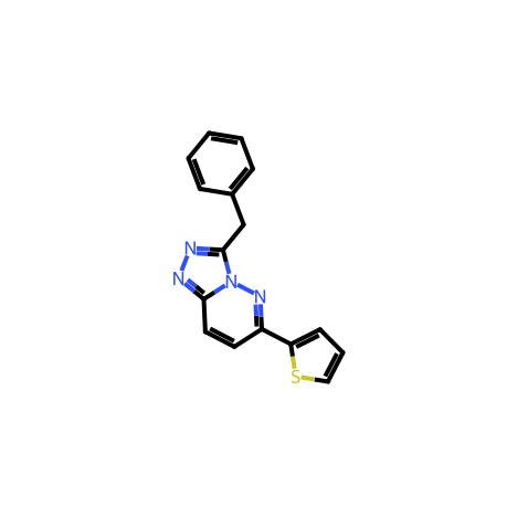 c1ccc(Cc2nnc3ccc(-c4cccs4)nn23)cc1